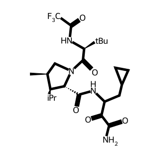 CC(C)[C@@H]1[C@@H](C(=O)NC(CC2CC2)C(=O)C(N)=O)N(C(=O)[C@@H](NC(=O)C(F)(F)F)C(C)(C)C)C[C@@H]1C